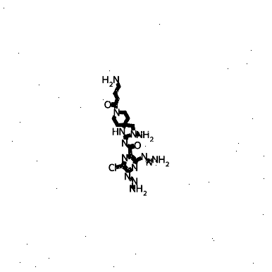 NCCCC(=O)N1CCC2(CC1)CN(N)/C(=N\C(=O)c1nc(Cl)c(N=NN)nc1N=NN)N2